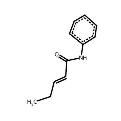 CCC=CC(=O)Nc1ccccc1